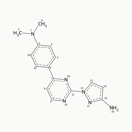 CN(C)c1ccc(-c2ccnc(-n3ccc(N)n3)n2)cc1